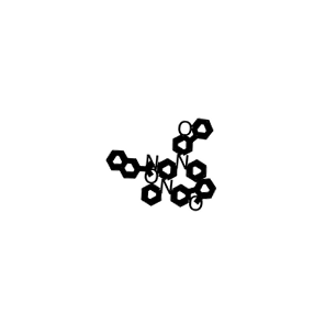 c1ccc(N(c2cc(N(c3ccccc3)c3ccc4oc5ccccc5c4c3)c3oc(-c4ccc5ccccc5c4)nc3c2)c2ccc3oc4ccccc4c3c2)cc1